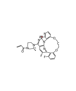 C=CC(=O)N1CCN(c2nc(=O)n3c4nc(c(F)cc24)-c2c(F)cccc2OCCCOc2ccnc(C(C)C)c2-3)[C@@H](C)C1